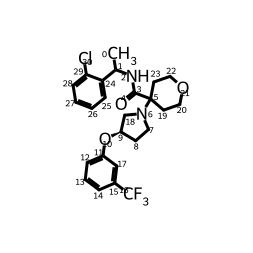 CC(NC(=O)C1(N2CC[C@@H](Oc3cccc(C(F)(F)F)c3)C2)CCOCC1)c1ccccc1Cl